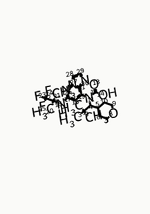 CC(C)(C)C(C1CCOCC1)N(C(=O)O)c1cc(NC(C)(C)C(F)(F)F)nn2ccnc12